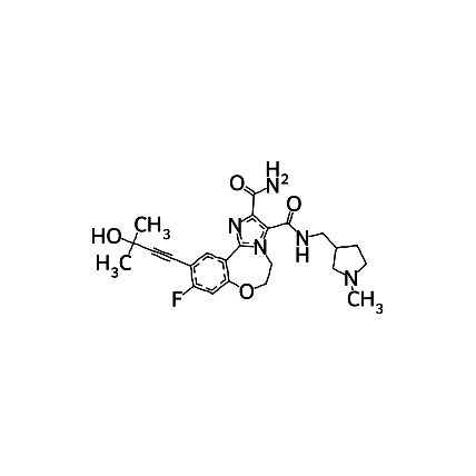 CN1CCC(CNC(=O)c2c(C(N)=O)nc3n2CCOc2cc(F)c(C#CC(C)(C)O)cc2-3)C1